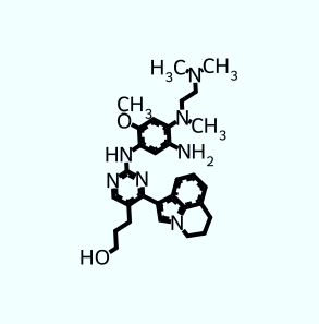 COc1cc(N(C)CCN(C)C)c(N)cc1Nc1ncc(CCCO)c(-c2cn3c4c(cccc24)CCC3)n1